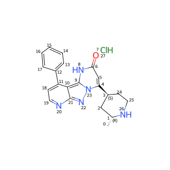 C[C@@H]1C[C@@H](c2cc(=O)[nH]c3c4c(-c5ccccc5)ccnc4nn23)CCN1.Cl